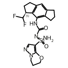 N[S@@](=O)(=NC(=O)Nc1c2c(cc3c1[C@@H](C(F)F)CC3)CCC2)c1cnn2c1OCCC2